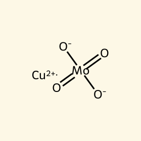 [Cu+2].[O]=[Mo](=[O])([O-])[O-]